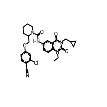 CCn1c(=O)n(CC2CC2)c(=O)c2cc(NC(=O)N3CCCCC3COc3ccc(C#N)c(Cl)c3)ccc21